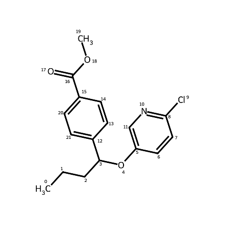 CCCC(Oc1ccc(Cl)nc1)c1ccc(C(=O)OC)cc1